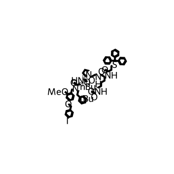 CCCC[C@@H](NC(=O)[C@@H]1CCCN1C(=O)CNC(=O)C(CCCCNC(=O)OC(C)(C)C)NC(=O)CCSC(c1ccccc1)(c1ccccc1)c1ccccc1)C(=O)N(CCc1ccccc1)Cc1ccc(OCc2ccc(I)cc2)cc1OC